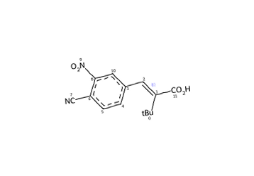 CC(C)(C)/C(=C\c1ccc(C#N)c([N+](=O)[O-])c1)C(=O)O